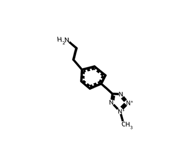 C[N+]1=[N+]=NC(c2ccc(CCN)cc2)=N1